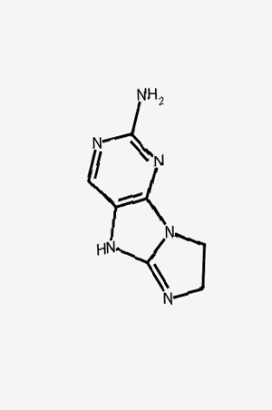 Nc1ncc2c(n1)N1CCN=C1N2